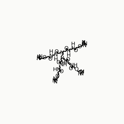 Cn1cc(COCCC(=O)NCCNC(=O)CCN(CCC(=O)NCCNC(=O)CCOCc2cn(C)nn2)CCN(CCC(=O)NCCNC(=O)CCOCc2cn(C)nn2)CCC(=O)NCCNC(=O)CCOCc2cn(C)nn2)nn1